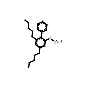 CCCCCc1cc(CCCCC)c(-c2ccccc2)c([O][Ti+2])c1.[Cl-].[Cl-]